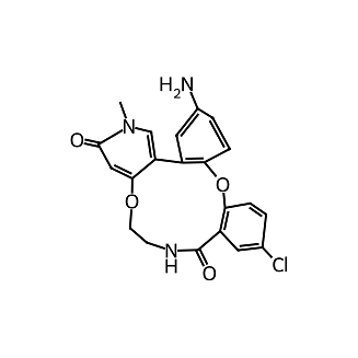 Cn1cc2c(cc1=O)OCCNC(=O)c1cc(Cl)ccc1Oc1ccc(N)cc1-2